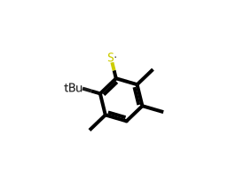 Cc1cc(C)c(C(C)(C)C)c([S])c1C